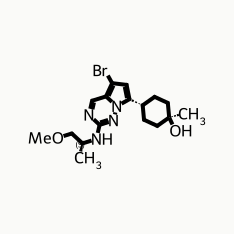 COC[C@H](C)Nc1ncc2c(Br)cc([C@H]3CC[C@](C)(O)CC3)n2n1